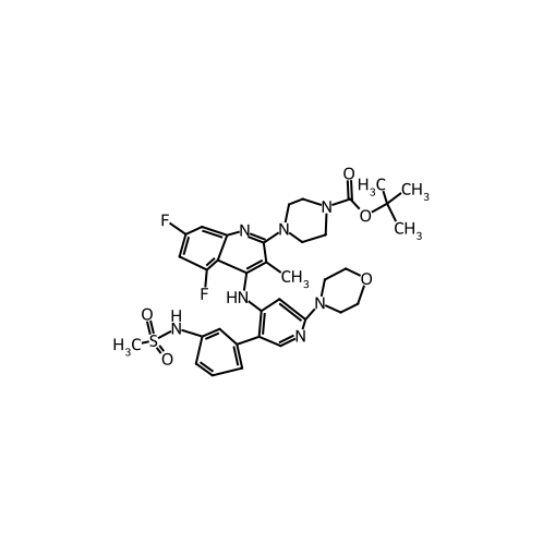 Cc1c(N2CCN(C(=O)OC(C)(C)C)CC2)nc2cc(F)cc(F)c2c1Nc1cc(N2CCOCC2)ncc1-c1cccc(NS(C)(=O)=O)c1